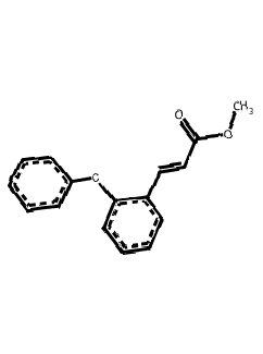 COC(=O)C=Cc1ccccc1Oc1ccccc1